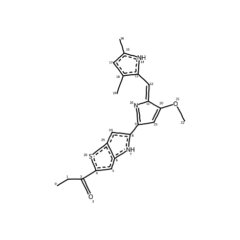 CCC(=O)c1cc2[nH]c(C3=NC(=Cc4[nH]c(C)cc4C)C(OC)=C3)cc2s1